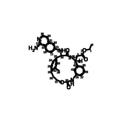 CCOC(=O)C[C@H]1NC(=O)C(Nc2ccc3c(N)nccc3c2)c2ccc(c(C)c2)CCOC(=O)Nc2cccc1c2